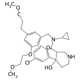 COCCCc1cc(CN(C(=O)C2CNCCC2(O)c2cccc(Cl)c2)C2CC2)cc(OCCOC)c1